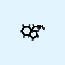 NCC12CCCCC1CCC2